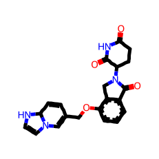 O=C1CCC(N2Cc3c(OCC4=CN5C=CNC5C=C4)cccc3C2=O)C(=O)N1